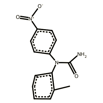 Cc1ccccc1N(C(N)=O)c1ccc([N+](=O)[O-])cc1